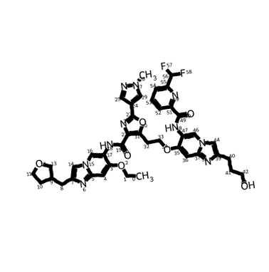 CCOc1cc2nc(CC3CCOC3)cn2cc1NC(=O)c1nc(-c2cnn(C)c2)oc1CCOc1cc2nc(CCCO)cn2cc1NC(=O)c1cccc(C(F)F)n1